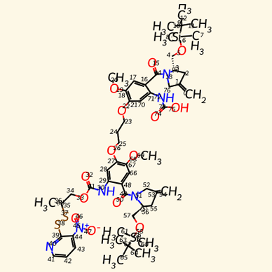 C=C1C[C@@H](CO[Si](C)(C)C(C)(C)C)N(C(=O)c2cc(OC)c(OCCCOc3cc(NC(=O)OC[C@@H](C)SSc4ncccc4[N+](=O)[O-])c(C(=O)N4CC(=C)C[C@H]4CO[Si](C)(C)C(C)(C)C)cc3OC)cc2NC(=O)O)C1